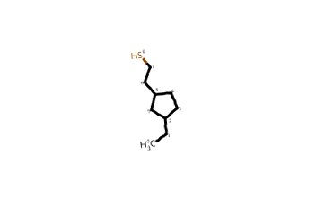 CCC1CCC(CCS)C1